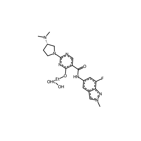 CCOc1nc(N2CC[C@H](N(C)C)C2)ncc1C(=O)Nc1cc(F)c2nn(C)cc2c1.O=CO